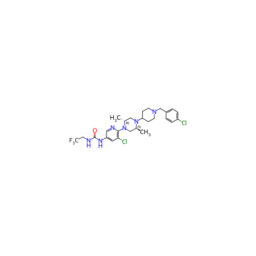 C[C@@H]1CN(C2CCN(Cc3ccc(Cl)cc3)CC2)[C@@H](C)CN1c1ncc(NC(=O)NCC(F)(F)F)cc1Cl